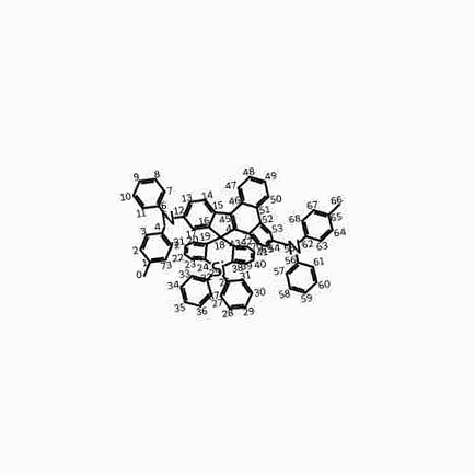 Cc1ccc(N(c2ccccc2)c2ccc3c(c2)C2(c4ccccc4[Si](c4ccccc4)(c4ccccc4)c4ccccc42)c2c-3c3ccccc3c3cc(N(c4ccccc4)c4ccc(C)cc4)ccc23)cc1